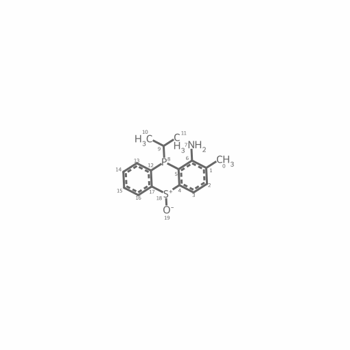 Cc1ccc2c(c1N)P(C(C)C)c1ccccc1[S+]2[O-]